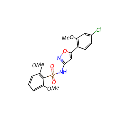 COc1cc(Cl)ccc1-c1cc(NS(=O)(=O)c2c(OC)cccc2OC)no1